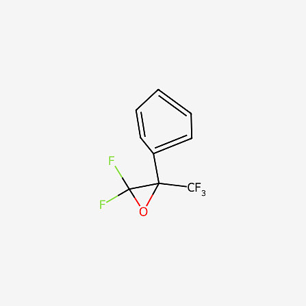 FC(F)(F)C1(c2ccccc2)OC1(F)F